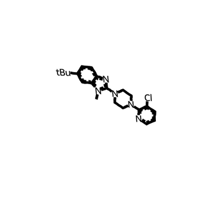 Cn1c(N2CCN(c3ncccc3Cl)CC2)nc2ccc(C(C)(C)C)cc21